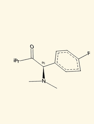 CC(C)C(=O)[C@@H](c1ccc(F)cc1)N(C)C